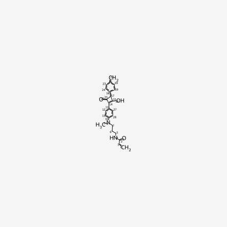 C=CC(=O)NCCCN(C)c1ccc(C2=C(O)C(=c3ccc(=C)cc3)C2=O)cc1